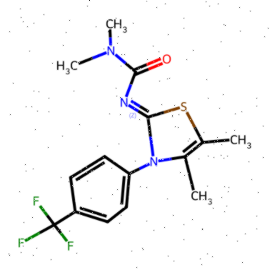 Cc1s/c(=N\C(=O)N(C)C)n(-c2ccc(C(F)(F)F)cc2)c1C